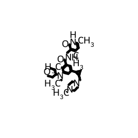 CCN(c1cc(C2CC2CN2CCN(C)CC2)cc(C(=O)NCc2c(C)cc(C)[nH]c2=O)c1C)C1CCOCC1